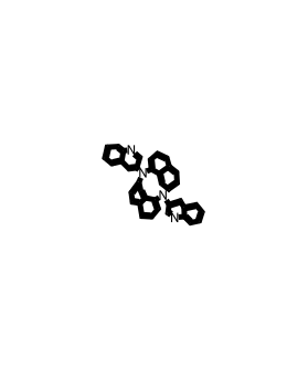 c1ccc2ncc(-n3c4ccc5cccc(c5c4)n(-c4cnc5ccccc5c4)c4ccc5cccc3c5c4)cc2c1